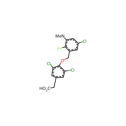 CNc1cc(Cl)cc(COc2c(Cl)cc(CC(=O)O)cc2Cl)c1F